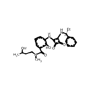 CC[C@@H](Nc1c(Nc2cccc(C(=O)N(C)CCC(C)O)c2O)c(=O)c1=O)c1ccccc1